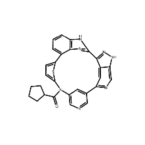 O=C(C1CCCC1)n1c2cncc(c2)c2cc3c(cn2)[nH]nc3c2nc3c(cccc3c3ccc1s3)[nH]2